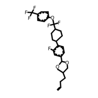 C=CCCC1COC(c2ccc(C3CCC(C(F)(F)Oc4ccc(C(F)(F)F)cc4)CC3)c(F)c2)OC1